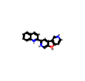 c1ccc2nc(-c3cc4c(cn3)oc3ccncc34)ccc2c1